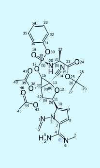 C=Nn1c(/C(N)=N\C)ccc1[C@@H]1O[C@]2(C#N)C(O[P@@](=O)(N[C@@H](C)C(=O)OC(C)(C)C)Oc3ccccc3)[C@]2(OC(C)=O)[C@H]1OC(C)=O